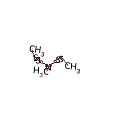 CCCCCCCCc1ccc(-c2ccc(-c3ccc(/C=C/c4ccc5c(c4)c4cc(/C=C/c6ccc(-c7ccc(-c8ccc(CCCCCCCC)s8)s7)cc6)ccc4n5CCCC)cc3)s2)s1